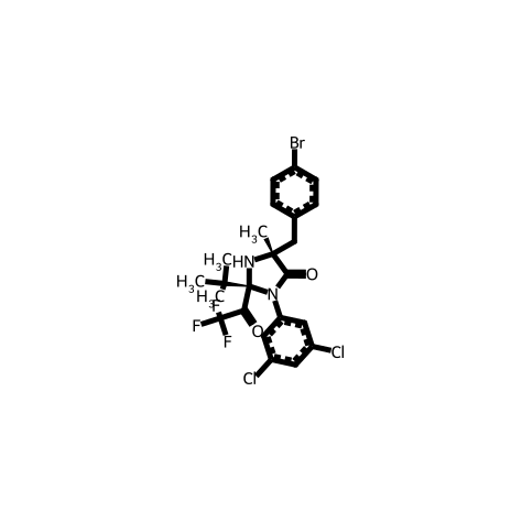 CC(C)(C)[C@@]1(C(=O)C(F)(F)F)N[C@](C)(Cc2ccc(Br)cc2)C(=O)N1c1cc(Cl)cc(Cl)c1